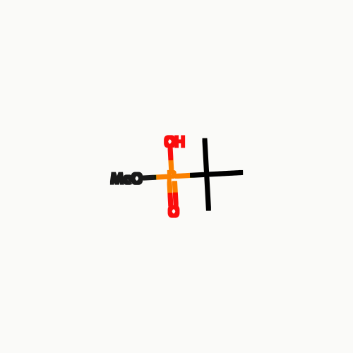 COP(=O)(O)C(C)(C)C